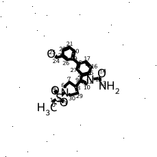 CCS(=O)(=O)N1CCC(c2cn(C(N)=O)c3ccc(-c4cccc(C=O)c4)cc23)CC1